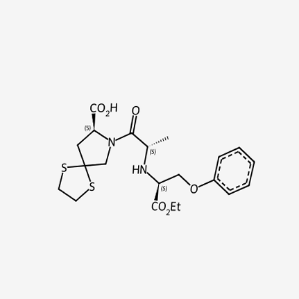 CCOC(=O)[C@H](COc1ccccc1)N[C@@H](C)C(=O)N1CC2(C[C@H]1C(=O)O)SCCS2